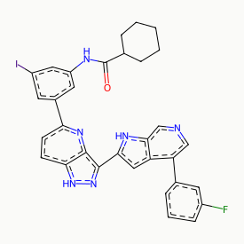 O=C(Nc1cc(I)cc(-c2ccc3[nH]nc(-c4cc5c(-c6cccc(F)c6)cncc5[nH]4)c3n2)c1)C1CCCCC1